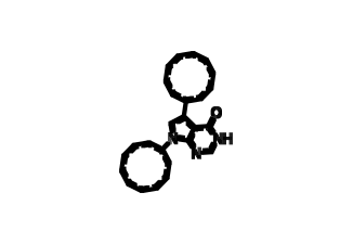 O=c1[nH]cnc2c1c(-c1ccccccccc1)cn2-c1ccccccccc1